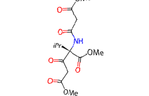 COC(=O)CC(=O)N[C@@](C(=O)CC(=O)OC)(C(=O)OC)C(C)C